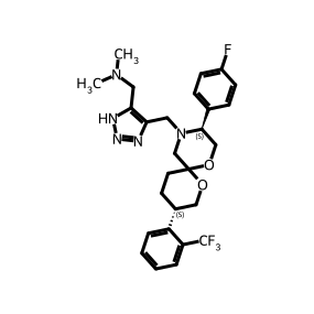 CN(C)Cc1[nH]nnc1CN1CC2(CC[C@@H](c3ccccc3C(F)(F)F)CO2)OC[C@@H]1c1ccc(F)cc1